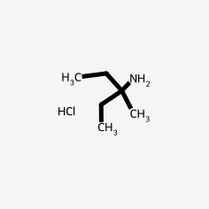 CCC(C)(N)CC.Cl